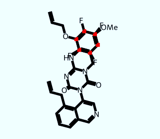 C=CCOc1cc(OC)cc(F)c1Nc1nc(=O)n(-c2cncc3cccc(CC=C)c23)c(=O)n1Cc1cc(F)c(F)cc1F